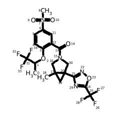 CC(Oc1ccc(S(C)(=O)=O)cc1C(=O)N1CC2(C)CC2(c2noc(C(F)(F)F)n2)C1)C(F)(F)F